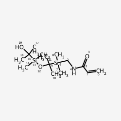 C=CC(=O)NC[Si](C)(C)C(C)(C)O[Si](C)(C)C(C)(C)O